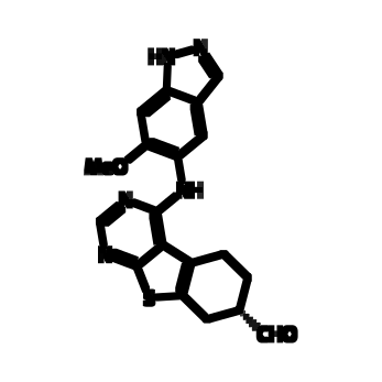 COc1cc2[nH]ncc2cc1Nc1ncnc2sc3c(c12)CC[C@H](C=O)C3